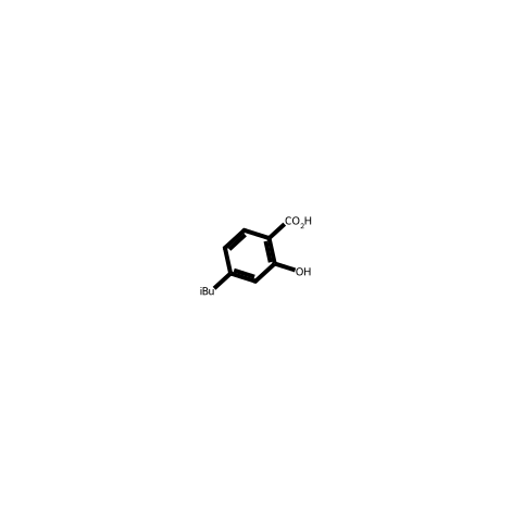 CCC(C)c1ccc(C(=O)O)c(O)c1